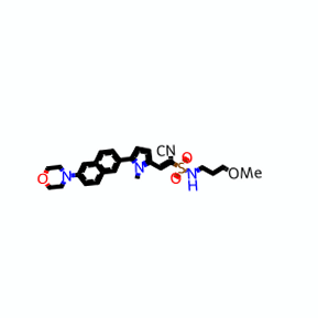 COCCCNS(=O)(=O)/C(C#N)=C/c1ccc(-c2ccc3cc(N4CCOCC4)ccc3c2)n1C